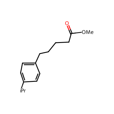 COC(=O)CCCCc1ccc(C(C)C)cc1